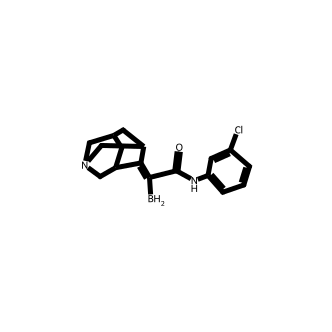 BC(C(=O)Nc1cccc(Cl)c1)=C1C2CC3CC1CN(C3)C2